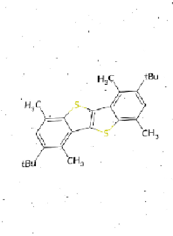 Cc1cc(C(C)(C)C)c(C)c2c1sc1c2sc2c(C)cc(C(C)(C)C)c(C)c21